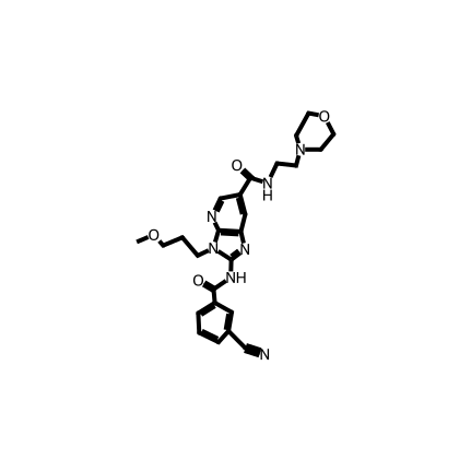 COCCCn1c(NC(=O)c2cccc(C#N)c2)nc2cc(C(=O)NCCN3CCOCC3)cnc21